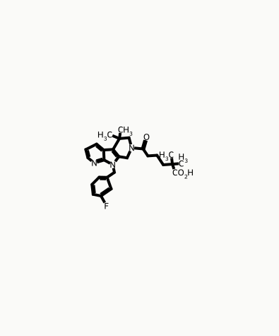 CC(C)(CCCC(=O)N1Cc2c(c3cccnc3n2Cc2cccc(F)c2)C(C)(C)C1)C(=O)O